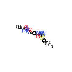 CC(C)(C)c1cc(NC(=O)Cc2ccc(NC(=O)c3nnsc3Sc3ccc(C(F)(F)F)cc3)cc2)no1